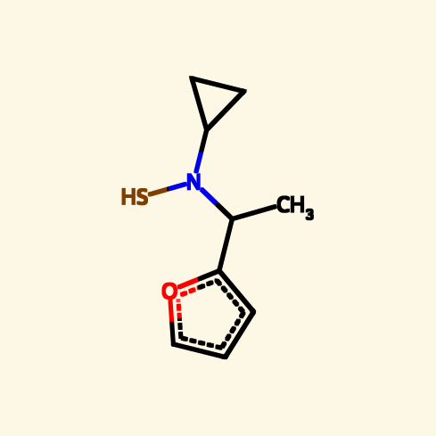 CC(c1ccco1)N(S)C1CC1